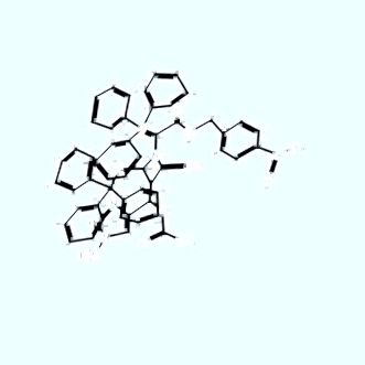 CC(=O)OC(c1cn(C)nn1)C1C(=O)N(C(C(=O)OCc2ccc([N+](=O)[O-])cc2)=P(c2ccccc2)(c2ccccc2)c2ccccc2)C1SC(c1ccccc1)(c1ccccc1)c1ccccc1